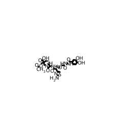 CC(=O)OCC1(C(=O)O)CS[C@@H]2C(NC(=O)C(=NOCC(=O)NNC(=O)c3ccc(O)c(O)c3)c3csc(N)n3)C(=O)N2C1